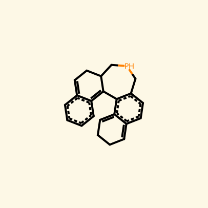 C1=c2ccccc2=C2c3c(ccc4c3=CCCC=4)CPCC2C1